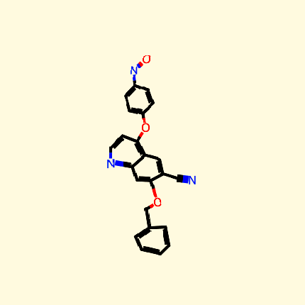 N#Cc1cc2c(Oc3ccc(N=O)cc3)ccnc2cc1OCc1ccccc1